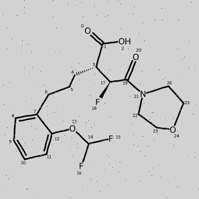 O=C(O)[C@@H](CCCc1ccccc1OC(F)F)[C@H](F)C(=O)N1CCOCC1